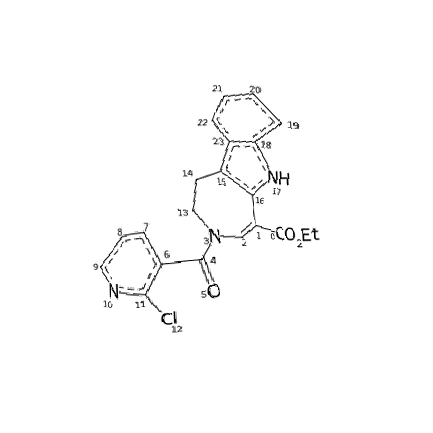 CCOC(=O)C1=CN(C(=O)c2cccnc2Cl)CCc2c1[nH]c1ccccc21